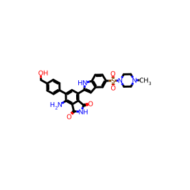 CN1CCN(S(=O)(=O)c2ccc3[nH]c(-c4cc(-c5ccc(CO)cc5)c(N)c5c4C(=O)NC5=O)cc3c2)CC1